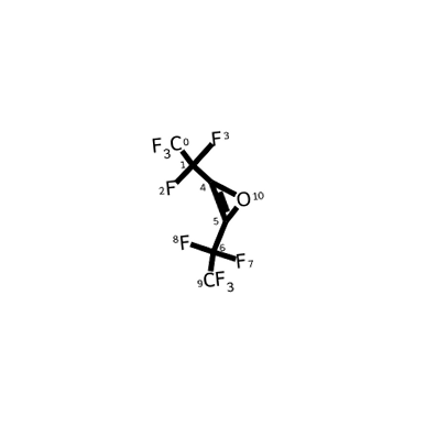 FC(F)(F)C(F)(F)C1=C(C(F)(F)C(F)(F)F)O1